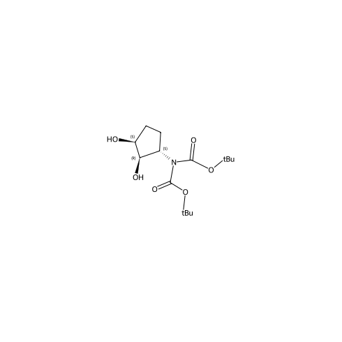 CC(C)(C)OC(=O)N(C(=O)OC(C)(C)C)[C@H]1CC[C@H](O)[C@@H]1O